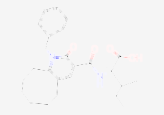 CCC(C)[C@H](NC(=O)c1cc2c(n(Cc3ccccc3)c1=O)CCCCCC2)C(=O)O